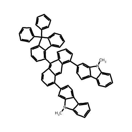 Cn1c2ccccc2c2ccc(-c3cccc4c(-c5cccc6c5-c5ccccc5C6(c5ccccc5)c5ccccc5)c5cccc(-c6ccc7c8ccccc8n(C)c7c6)c5cc34)cc21